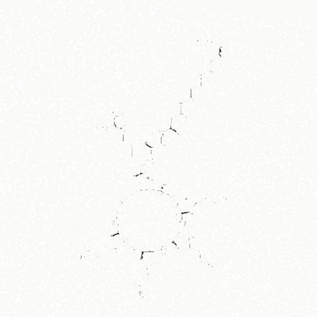 CCCCCC/C=C\CCCCCCC[C@@H](O)CC(=O)NCC(=O)N[C@@H](CCCN=C(N)N)C(=O)N[C@@H]1CCCCNC(=O)[C@H](CCCCN)NC(=O)[C@@H](CCCCN)NC(=O)[C@@H](CCCCN)NC(=O)[C@H](CCCCN)NC1=O